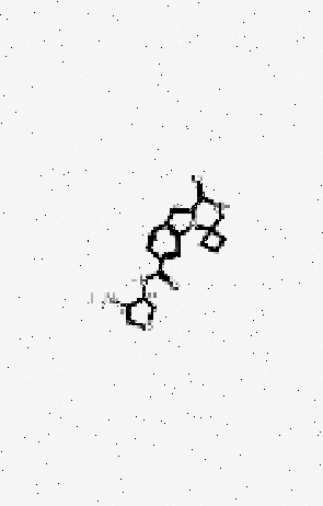 N[C@@H]1COC[C@@H]1NC(=O)c1ccc2cc3n(c2c1)C1(CCC1)CNC3=O